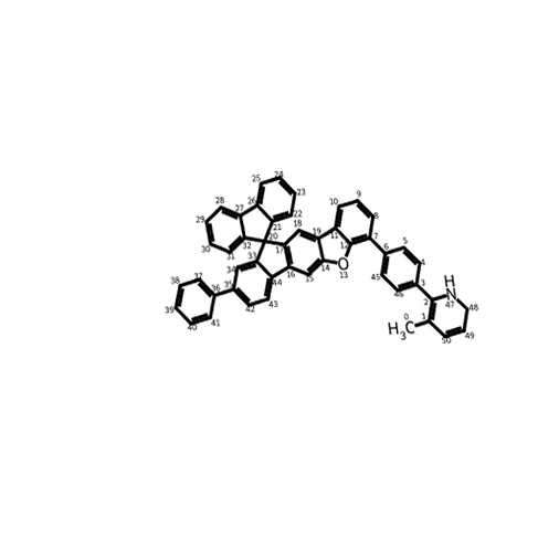 CC1=C(c2ccc(-c3cccc4c3oc3cc5c(cc34)C3(c4ccccc4-c4ccccc43)c3cc(-c4ccccc4)ccc3-5)cc2)NCC=C1